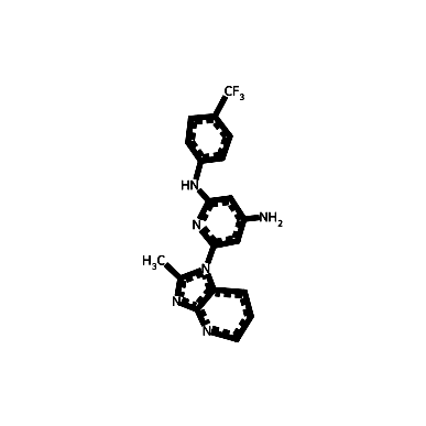 Cc1nc2ncccc2n1-c1cc(N)cc(Nc2ccc(C(F)(F)F)cc2)n1